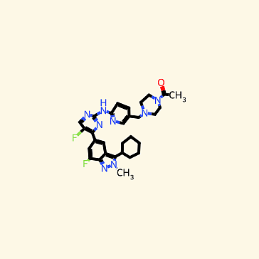 CC(=O)N1CCN(Cc2ccc(Nc3ncc(F)c(-c4cc(F)c5nn(C)c(C6CCCCC6)c5c4)n3)nc2)CC1